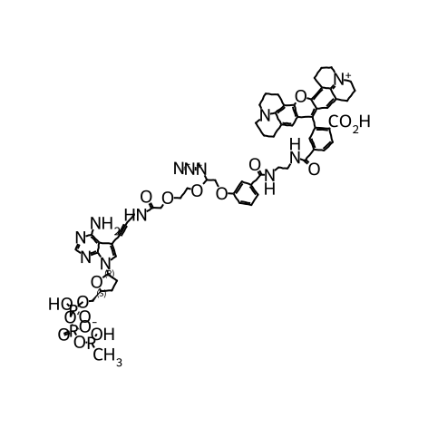 CP(O)OP(=O)([O-])OP(=O)(O)OC[C@@H]1CC[C@H](n2cc(C#CCNC(=O)COCCOC(COc3cccc(C(=O)NCCNC(=O)c4ccc(C(=O)O)c(C5=c6cc7c8c(c6Oc6c5cc5c9c6CCCN9CCC5)CCC[N+]=8CCC7)c4)c3)N=[N+]=[N-])c3c(N)ncnc32)O1